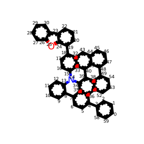 c1ccc(-c2ccc(-c3ccccc3N(c3ccc(-c4cccc5c4oc4ccccc45)cc3)c3ccccc3-c3cccc4cccc(-c5ccccc5)c34)cc2)cc1